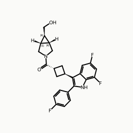 O=C([C@H]1C[C@H](c2c(-c3ccc(F)cc3)[nH]c3c(F)cc(F)cc32)C1)N1C[C@@H]2[C@@H](CO)[C@@H]2C1